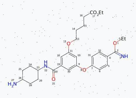 CCOC(=N)c1ccc(Oc2cc(OCCCCC(=O)OCC)cc(C(=O)NC3CCC(N)CC3)c2)cc1